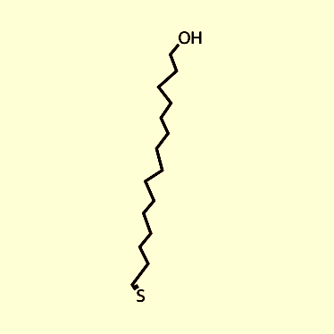 OCCCCCCCCCCCCCCC=S